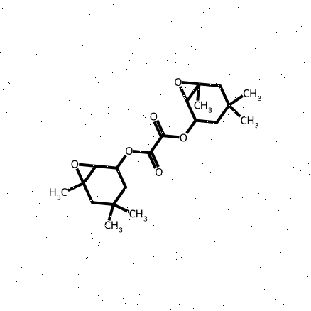 CC1(C)CC(OC(=O)C(=O)OC2CC(C)(C)CC3(C)OC23)C2OC2(C)C1